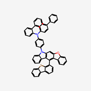 c1ccc(-c2ccc(N(c3ccc(-n4c5ccccc5c5c(-c6cccc7c6sc6ccccc67)c6c(cc54)oc4ccccc46)cc3)c3ccccc3-c3ccccc3)cc2)cc1